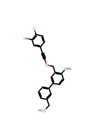 COc1ccc(-c2cccc(CC(=O)O)c2)cc1COC#Cc1ccc(Cl)c(Cl)c1